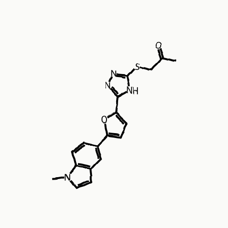 CC(=O)CSc1nnc(-c2ccc(-c3ccc4c(ccn4C)c3)o2)[nH]1